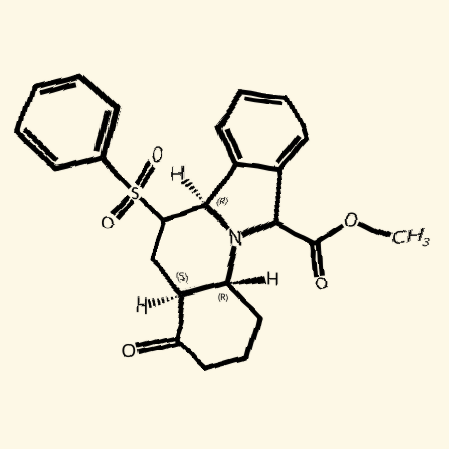 COC(=O)C1c2ccccc2[C@@H]2C(S(=O)(=O)c3ccccc3)C[C@@H]3C(=O)CCC[C@H]3N12